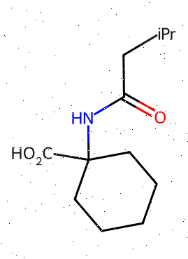 CC(C)CC(=O)NC1(C(=O)O)CCCCC1